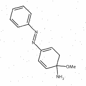 COC1(N)C=CC(N=Nc2ccccc2)=CC1